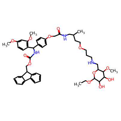 CCOC1OC(CNCCCOCCC(C)CNC(=O)COc2ccc(C(NC(=O)OCC3c4ccccc4-c4ccccc43)c3ccc(OC)cc3OC)cc2)C(OC)C(O)C1O